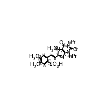 CCCn1c(=O)c2c(nc(C=Cc3cc(C)c(C)cc3S(=O)(=O)O)n2C)n(CCC)c1=O